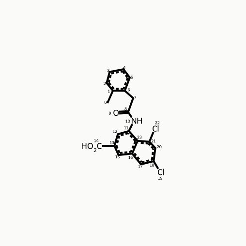 Cc1ccccc1CC(=O)Nc1cc(C(=O)O)cc2cc(Cl)cc(Cl)c12